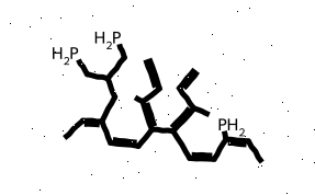 C=CC(C)=C(/C=C\C(P)=C/C)C(/C=C\C(=C/C)CC(CP)CP)=C(/C)C=C